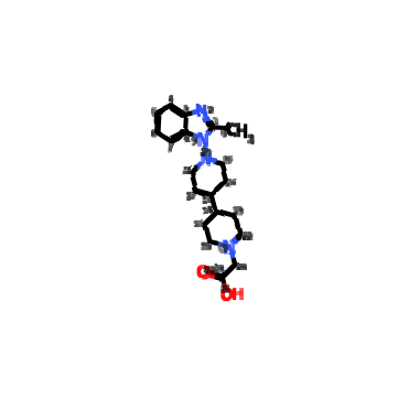 Cc1nc2ccccc2n1N1CCC(C2CCN(CC(=O)O)CC2)CC1